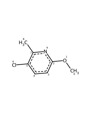 COc1ccc(Cl)c(C)n1